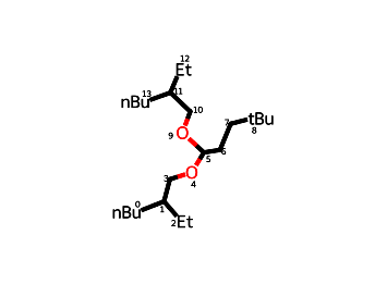 CCCCC(CC)COC(CCC(C)(C)C)OCC(CC)CCCC